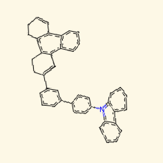 C1=Cc2c(c3c(c4ccccc24)C=C(c2cccc(-c4ccc(-n5c6ccccc6c6ccccc65)cc4)c2)CC3)CC1